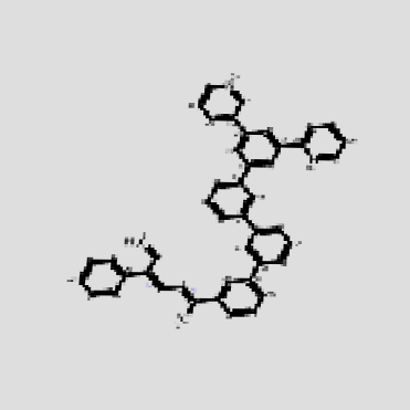 C=C/C(=C\C=C(/C)c1cccc(-c2cccc(-c3cccc(-c4cc(-c5cccnc5)cc(-c5ccccn5)c4)c3)c2)c1)c1ccccc1